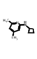 Cc1cc(C)nc(NC2CCC2)c1